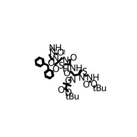 C[C@H]1CN(N)C(=O)N1[C@]1(C(=O)OC(c2ccccc2)c2ccccc2)CN2C(=O)[C@@H](NC(=O)/C(=N\OC(C)(C)C(=O)OC(C)(C)C)c3csc(NC(=O)OC(C)(C)C)n3)[C@H]2S1